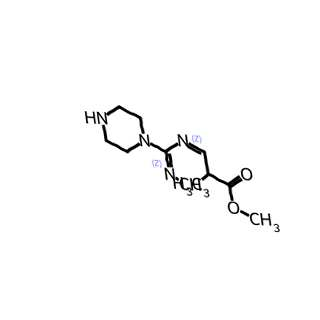 C/N=C(\N=C/C(C)C(=O)OC)N1CCNCC1